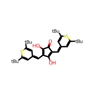 CC(C)(C)C1=CC(=CC2=C(O)C(C=C3C=C(C(C)(C)C)SC(C(C)(C)C)=C3)=C(O)C2=O)C=C(C(C)(C)C)S1